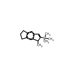 CC1C([Si](C)(C)C)=Cc2cc3c(cc21)CCC3